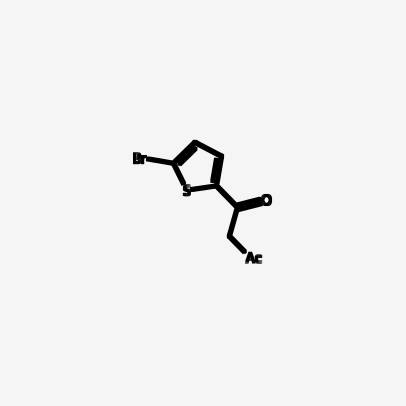 CC(=O)CC(=O)c1ccc(Br)s1